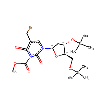 CC(C)(C)OC(=O)n1c(=O)c(CBr)cn([C@H]2C[C@H](O[Si](C)(C)C(C)(C)C)[C@@H](CO[Si](C)(C)C(C)(C)C)O2)c1=O